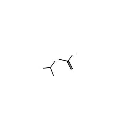 CCCCC(CC)OC(=O)C(C)C